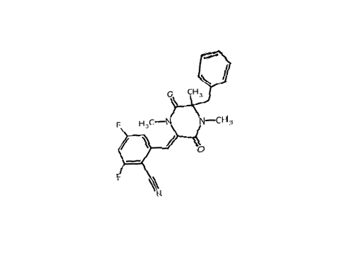 CN1C(=O)C(C)(Cc2ccccc2)N(C)C(=O)C1=Cc1cc(F)cc(F)c1C#N